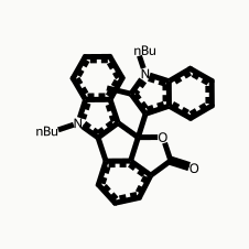 CCCCn1c(C)c(C23OC(=O)c4cccc(c42)-c2c3c3ccccc3n2CCCC)c2ccccc21